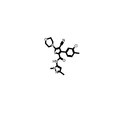 Cc1cc(NC(=O)c2sc(N3CCOCC3)c(C#N)c2-c2ccc(C)c(Cl)c2)n(C)n1